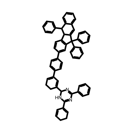 C1=CC(C2=NC(c3ccccc3)=NC(C3=CC(c4ccc(-c5ccc6c(c5)C(c5ccccc5)(c5ccccc5)C5=Cc7ccccc7C(c7ccccc7)C56)cc4)=CCC3)N2)=CCC1